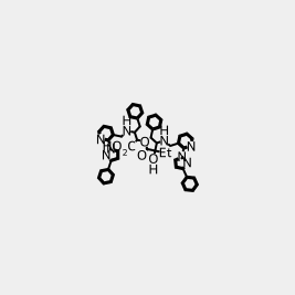 CCC(O)(C(=O)OC(C(=O)O)C(Cc1ccccc1)NCc1cccnc1-n1ccc(-c2ccccc2)n1)C(Cc1ccccc1)NCc1cccnc1-n1ccc(-c2ccccc2)n1